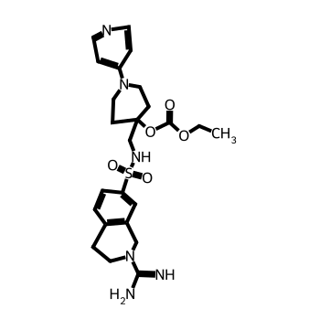 CCOC(=O)OC1(CNS(=O)(=O)c2ccc3c(c2)CN(C(=N)N)CC3)CCN(c2ccncc2)CC1